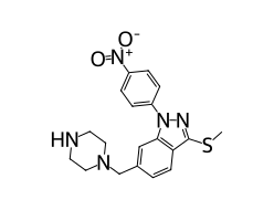 CSc1nn(-c2ccc([N+](=O)[O-])cc2)c2cc(CN3CCNCC3)ccc12